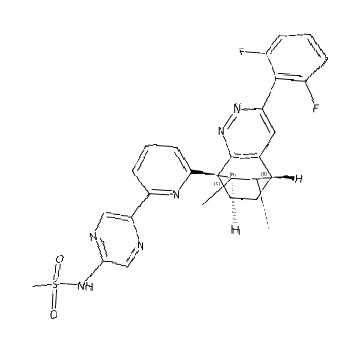 CC1[C@@H](C)[C@]2(c3cccc(-c4cnc(NS(C)(=O)=O)cn4)n3)CC[C@H]1c1cc(-c3c(F)cccc3F)nnc12